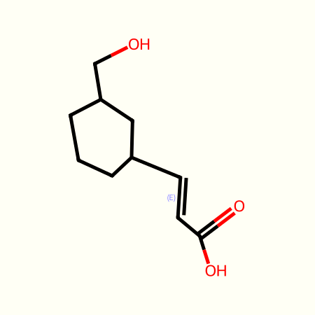 O=C(O)/C=C/C1CCCC(CO)C1